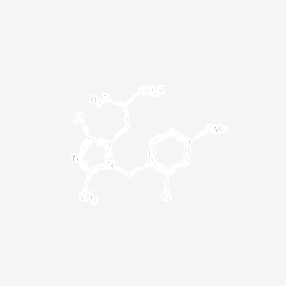 CSc1ccc(Cn2c(C)nc(Cl)c2CC(C)C(=O)O)c(Cl)c1